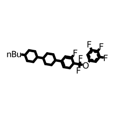 CCCCC1CCC(C2CCC(C3=CCC(C(F)(F)Oc4cc(F)c(F)c(F)c4)C(F)=C3)CC2)CC1